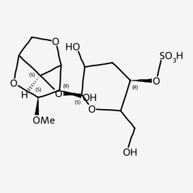 CO[C@H]1OC2COC([C@H]2O[C@@H]2OC(CO)[C@H](OS(=O)(=O)O)CC2O)[C@H]1O